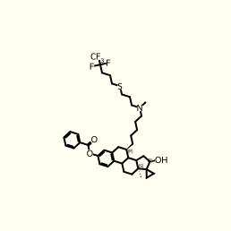 CN(CCCCC[C@@H]1Cc2cc(OC(=O)c3ccccc3)ccc2C2CC[C@@]3(C)C(C[C@@H](O)C34CC4)C21)CCCSCCCC(F)(F)C(F)(F)F